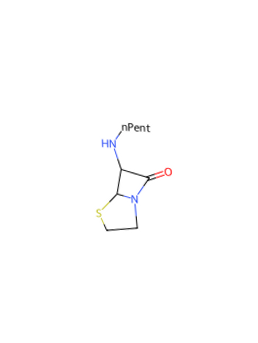 CCCCCNC1C(=O)N2CCSC12